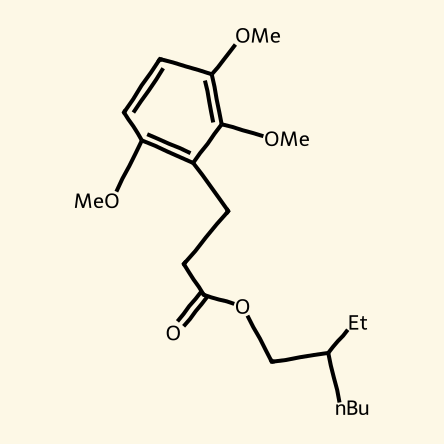 CCCCC(CC)COC(=O)CCc1c(OC)ccc(OC)c1OC